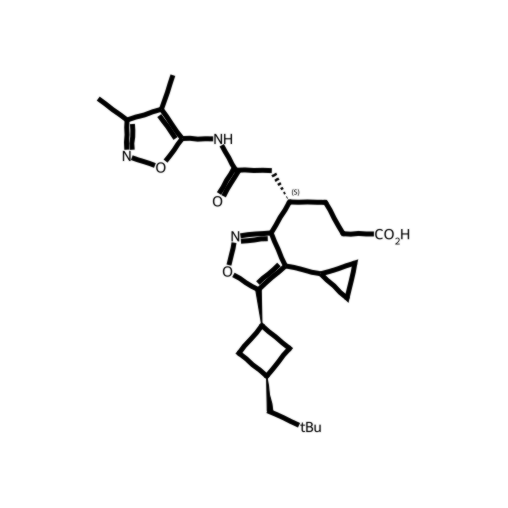 Cc1noc(NC(=O)C[C@H](CCC(=O)O)c2noc([C@H]3C[C@@H](CC(C)(C)C)C3)c2C2CC2)c1C